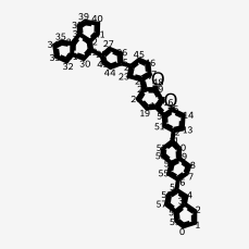 c1ccc2cc(-c3ccc4cc(-c5ccc6oc7c(ccc8c9cc(-c%10ccc(-c%11cc%12ccccc%12c%12ccccc%11%12)cc%10)ccc9oc87)c6c5)ccc4c3)ccc2c1